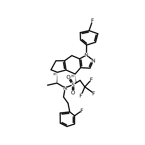 CC([C@@H]1CCC2=C1[C@@H](C)c1cnn(-c3ccc(F)cc3)c1C2)N(CCc1ccccc1F)S(=O)(=O)CC(F)(F)F